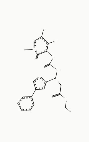 CCOC(=O)C[C@H](NC(=O)Nc1c(O)c(C)cn(C)c1=O)c1cc(-c2ccccc2)cs1